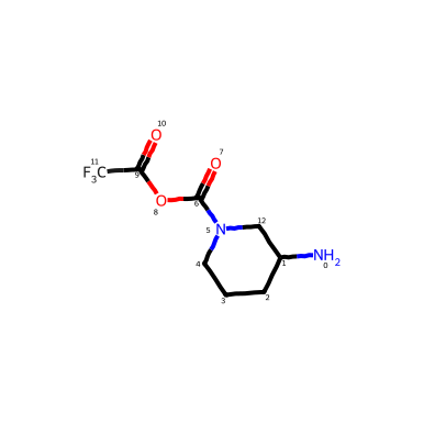 NC1CCCN(C(=O)OC(=O)C(F)(F)F)C1